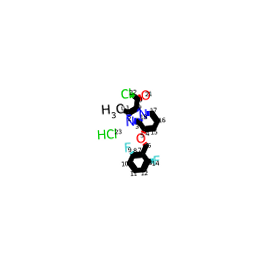 Cc1nc2c(OCc3c(F)cccc3F)cccn2c1C(=O)Cl.Cl